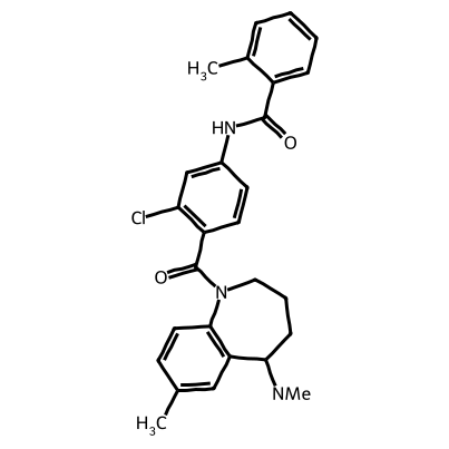 CNC1CCCN(C(=O)c2ccc(NC(=O)c3ccccc3C)cc2Cl)c2ccc(C)cc21